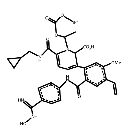 C=Cc1cc(C(=O)Nc2ccc(C(=N)NO)cc2)c(C2=CC=C(C(=O)NCC3CC3)N(C(C)OC(=O)OC(C)C)C2C(=O)O)cc1OC